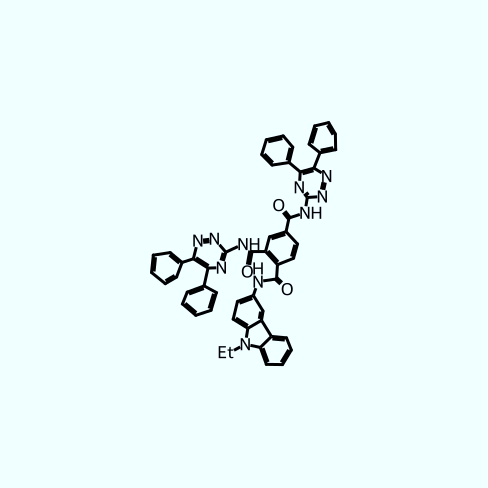 CCn1c2ccccc2c2cc(NC(=O)c3ccc(C(=O)Nc4nnc(-c5ccccc5)c(-c5ccccc5)n4)cc3C(=O)Nc3nnc(-c4ccccc4)c(-c4ccccc4)n3)ccc21